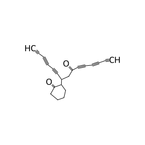 C#CC#CC#CC(=O)CC(C#CC#CC#C)C1CCCCC1=O